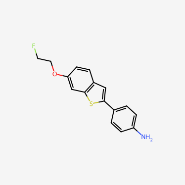 Nc1ccc(-c2cc3ccc(OCCF)cc3s2)cc1